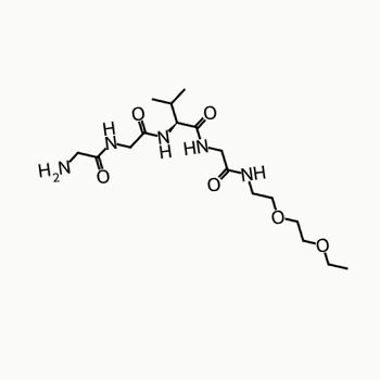 CCOCCOCCNC(=O)CNC(=O)[C@@H](NC(=O)CNC(=O)CN)C(C)C